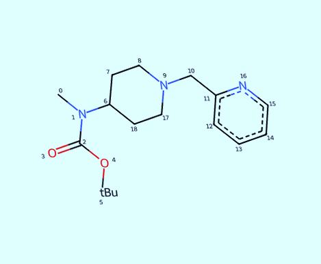 CN(C(=O)OC(C)(C)C)C1CCN(Cc2ccccn2)CC1